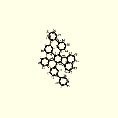 c1ccc(-c2c(-c3ccccc3)c(-c3cccc(-c4cccnc4)c3)c3c(c2-c2cccc(-c4cccnc4)c2)-c2cccc4cccc-3c24)cc1